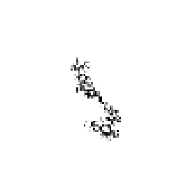 O=C(NCc1cc(OC(F)(F)F)ccc1F)c1cn(CCCCc2cc3cc(C4CCN(C(=O)CC(F)(F)F)CC4)[nH]c3nn2)nn1